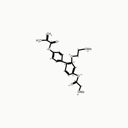 C=C(C)C(=O)Oc1ccc(-c2ccc(OC(=O)COC)cc2OCCOC)cc1